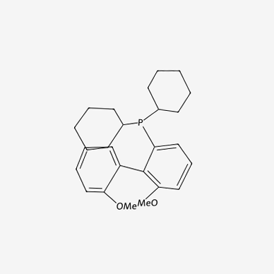 COc1ccccc1-c1c(OC)cccc1P(C1CCCCC1)C1CCCCC1